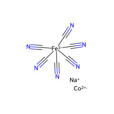 N#[C][Fe-3]([C]#N)([C]#N)([C]#N)([C]#N)[C]#N.[Co+2].[Na+]